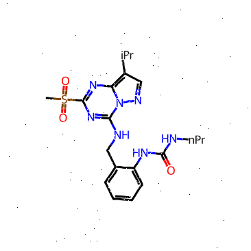 CCCNC(=O)Nc1ccccc1CNc1nc(S(C)(=O)=O)nc2c(C(C)C)cnn12